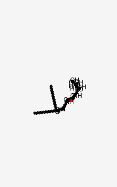 CCCCCCCCCCCCCCCCCCCC1(CCCCCCCCCCCCCCCCC)OCC(CCN(C)CCCCCNC(=O)C(C)(CC)COC(C)(C)CC(=O)NCCCC[C@@H](NC(=O)N[C@H](CCC(=O)O)C(=O)O)C(=O)O)O1